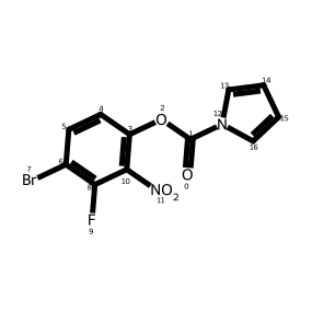 O=C(Oc1ccc(Br)c(F)c1[N+](=O)[O-])n1cccc1